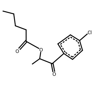 CCCCC(=O)OC(C)C(=O)c1ccc(Cl)cc1